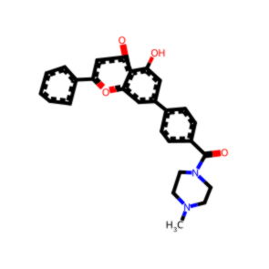 CN1CCN(C(=O)c2ccc(-c3cc(O)c4c(=O)cc(-c5ccccc5)oc4c3)cc2)CC1